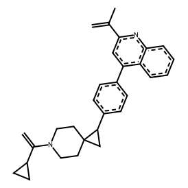 C=C(C)c1cc(-c2ccc(C3CC34CCN(C(=C)C3CC3)CC4)cc2)c2ccccc2n1